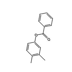 Cc1ccc(OC(=O)c2ccccc2)cc1C